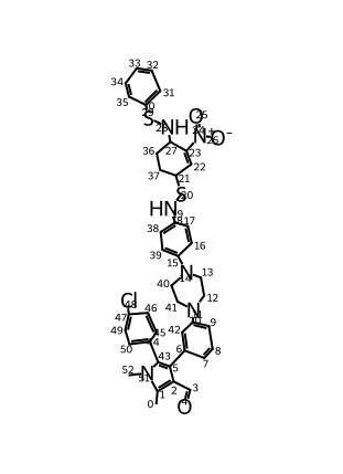 Cc1c(C=O)c(-c2cccc(N3CCN(c4ccc(NSC5C=C([N+](=O)[O-])C(NSc6ccccc6)CC5)cc4)CC3)c2)c(-c2ccc(Cl)cc2)n1C